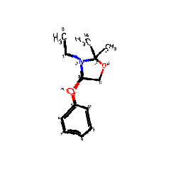 CCN1C(Oc2ccccc2)COC1(C)C